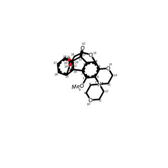 COc1c2c3c(c4c1[N+]1(CCOCC1)CCO4)OCC[N+]1(CCOCC1)c1cccc(c1-2)C3=O